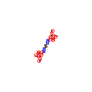 OC(COCC(COCC1CO1)(COCC1CO1)COCC1CO1)CN1CCN(CCSSCCN2CCN(CC(O)COCC(COCC3CO3)(COCC3CO3)COCC3CO3)CC2)CC1